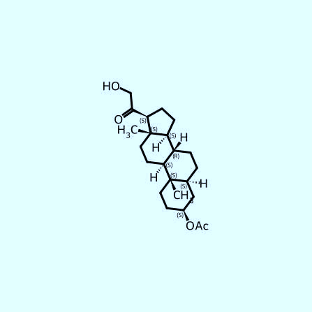 CC(=O)O[C@H]1CC[C@@]2(C)[C@@H](CC[C@@H]3[C@@H]2CC[C@]2(C)[C@@H](C(=O)CO)CC[C@@H]32)C1